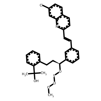 COOSO[C@@H](CCc1ccccc1C(C)(C)O)c1cccc(/C=C/c2ccc3ccc(Cl)cc3n2)c1